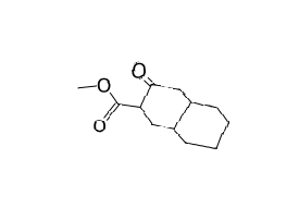 COC(=O)C1CC2CCCCC2CC1=O